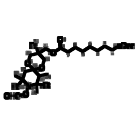 CCCCCCCCCCCCCCCCCC(=O)OCC1(CC)COC2(CC(C)(CC)N(OC=O)C(C)(CC)C2C)OC1